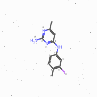 Cc1cc(Nc2ccc(C)c(I)c2)nc(N)n1